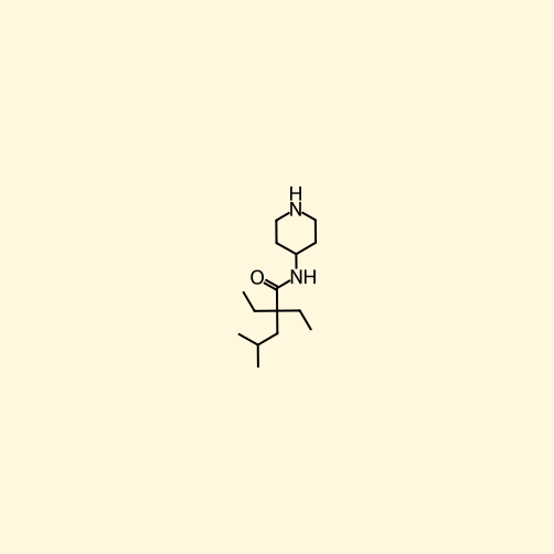 CCC(CC)(CC(C)C)C(=O)NC1CCNCC1